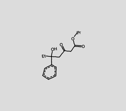 CCC(O)(CC(=O)CC(=O)OC(C)C)c1ccccc1